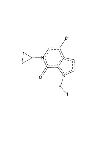 O=c1c2c(ccn2SI)c(Br)cn1C1CC1